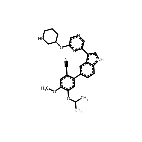 COc1cc(C#N)c(-c2ccc3[nH]cc(-c4cncc(O[C@@H]5CCCNC5)n4)c3c2)cc1OC(C)C